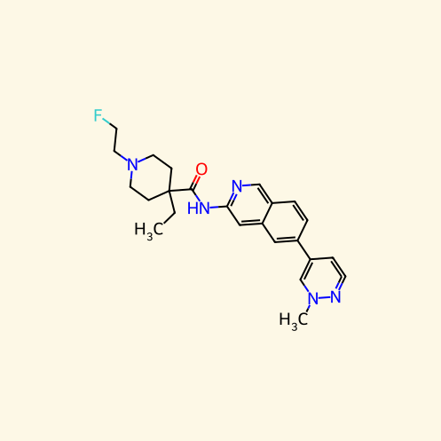 CCC1(C(=O)Nc2cc3cc(C4=CN(C)N=C=C4)ccc3cn2)CCN(CCF)CC1